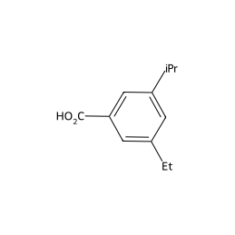 CCc1cc(C(=O)O)cc(C(C)C)c1